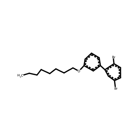 CCCCCCCCOc1[c]ccc(-c2cc(Br)ccc2Br)c1